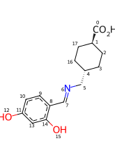 O=C(O)[C@H]1CC[C@H](CN=Cc2ccc(O)cc2O)CC1